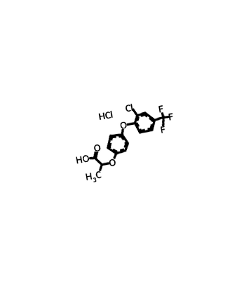 CC(Oc1ccc(Oc2ccc(C(F)(F)F)cc2Cl)cc1)C(=O)O.Cl